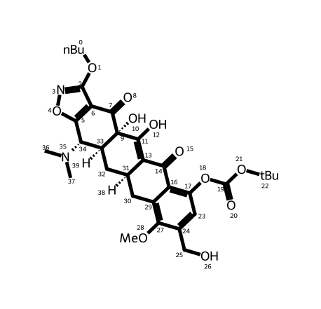 CCCCOc1noc2c1C(=O)[C@@]1(O)C(O)=C3C(=O)c4c(OC(=O)OC(C)(C)C)cc(CO)c(OC)c4C[C@H]3C[C@H]1[C@@H]2N(C)C